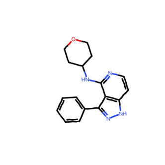 c1ccc(-c2n[nH]c3ccnc(NC4CCOCC4)c23)cc1